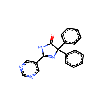 O=C1NC(c2cncnc2)=NC1(c1ccccc1)c1ccccc1